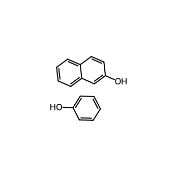 Oc1ccc2ccccc2c1.Oc1ccccc1